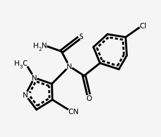 Cn1ncc(C#N)c1N(C(=O)c1ccc(Cl)cc1)C(N)=S